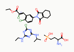 CCNc1nc(Cl)nc(NC(C)C)n1.CCOC(=O)/C(Cl)=C/c1cc(N2C(=O)C3=C(CCCC3)C2=O)ccc1Cl.CP(=O)(O)CCC(N)C(=O)O